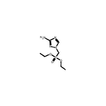 CCOP(=O)(Cn1cnc(N)n1)OCC